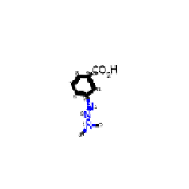 CN(C)N=Nc1cccc(C(=O)O)c1